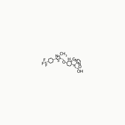 Cc1nc(-c2ccc(C(F)(F)F)cc2)sc1COc1ccc([C@H](CC(=O)O)c2nccn2C)cc1